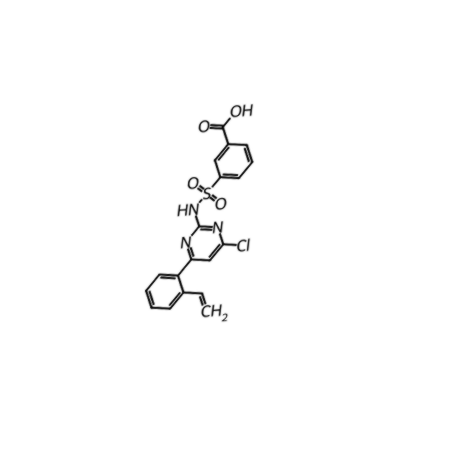 C=Cc1ccccc1-c1cc(Cl)nc(NS(=O)(=O)c2cccc(C(=O)O)c2)n1